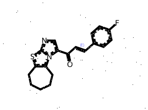 O=C(/C=C/c1ccc(F)cc1)c1cnc2sc3c(n12)CCCCC3